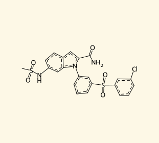 CS(=O)(=O)Nc1ccc2cc(C(N)=O)n(-c3cccc(S(=O)(=O)c4cccc(Cl)c4)c3)c2c1